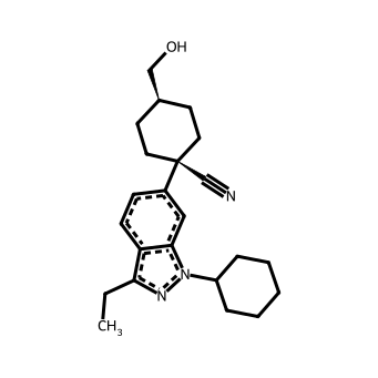 CCc1nn(C2CCCCC2)c2cc([C@]3(C#N)CC[C@@H](CO)CC3)ccc12